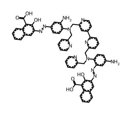 Nc1ccc(N(Cc2ccccn2)Cc2cccc(-c3ccnc(CN(Cc4ccccn4)c4ccc(/N=N/c5cc6ccccc6c(C(=O)O)c5O)cc4N)c3)n2)c(/N=N/c2cc3ccccc3c(C(=O)O)c2O)c1